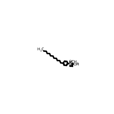 CCCCCCCCCCCCc1ccc([N+]2([O-])C=CC2(C)O)cc1